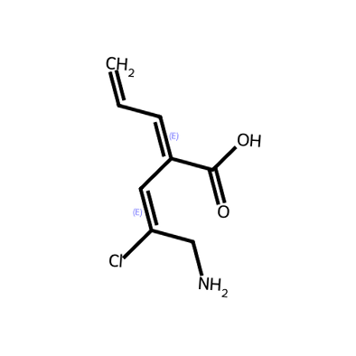 C=C/C=C(\C=C(\Cl)CN)C(=O)O